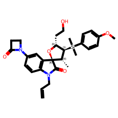 C=CCN1C(=O)[C@]2(O[C@H](CCO)[C@@H]([Si](C)(C)c3ccc(OC)cc3)[C@@H]2C)c2cc(N3CCC3=O)ccc21